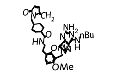 C=C1C=CC(=O)N1CC1CCC(C(=O)NCCc2ccc(OC)c(Cn3cc4nc(N)nc(NCCCC)c4n3)c2OC)CC1